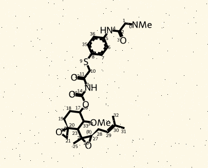 CNCC(=O)Nc1ccc(SCC(=O)NC(=O)OC2CC[C@]3(CO3)C(C3(C)O[C@@H]3CC=C(C)C)C2OC)cc1